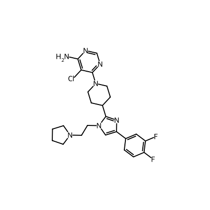 Nc1ncnc(N2CCC(c3nc(-c4ccc(F)c(F)c4)cn3CCN3CCCC3)CC2)c1Cl